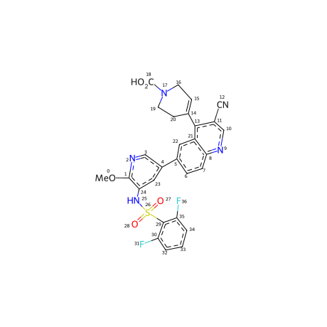 COc1ncc(-c2ccc3ncc(C#N)c(C4=CCN(C(=O)O)CC4)c3c2)cc1NS(=O)(=O)c1c(F)cccc1F